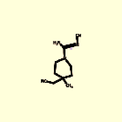 CC1(CC#N)CCN(/C(N)=N/C#N)CC1